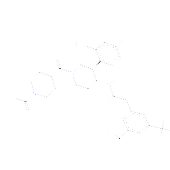 CC(=O)N1CCC(C(=O)N2CC[C@@H](N(C)C(=O)Cc3cc(C(F)(F)F)cc(C(F)(F)F)c3)[C@H](c3ccc(F)cc3C)C2)CC1